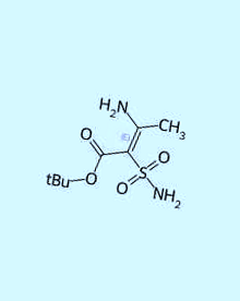 C/C(N)=C(/C(=O)OC(C)(C)C)S(N)(=O)=O